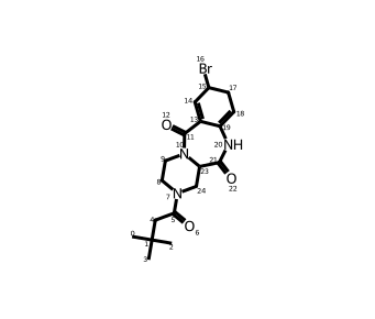 CC(C)(C)CC(=O)N1CCN2C(=O)C3=CC(Br)CC=C3NC(=O)C2C1